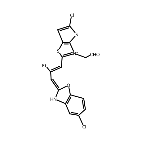 CCC(=Cc1sc2cc(Cl)sc2[n+]1CC=O)C=C1Nc2cc(Cl)ccc2O1